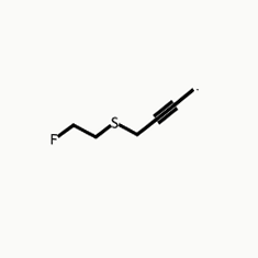 [CH2]C#CCSCCF